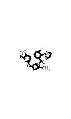 CC1C2CC(Oc3ccc(C(F)(F)F)c(F)n3)C(C2)N1C(=O)c1cccc(F)c1-n1nccn1